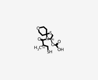 C[C@H](CS)C(=O)N1[C@H](OC(=O)O)CSC12CCOCC2